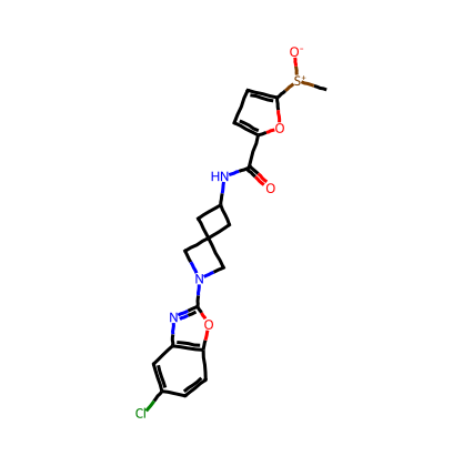 C[S+]([O-])c1ccc(C(=O)NC2CC3(C2)CN(c2nc4cc(Cl)ccc4o2)C3)o1